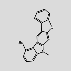 Cn1c2cc3oc4ccccc4c3cc2c2c(C(C)(C)C)cccc21